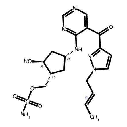 C/C=C/Cn1ccc(C(=O)c2cncnc2N[C@@H]2C[C@H](COS(N)(=O)=O)[C@@H](O)C2)n1